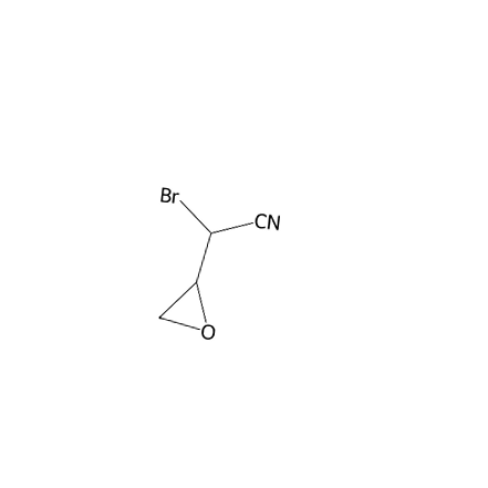 N#CC(Br)C1CO1